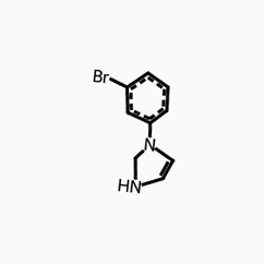 Brc1cccc(N2C=CNC2)c1